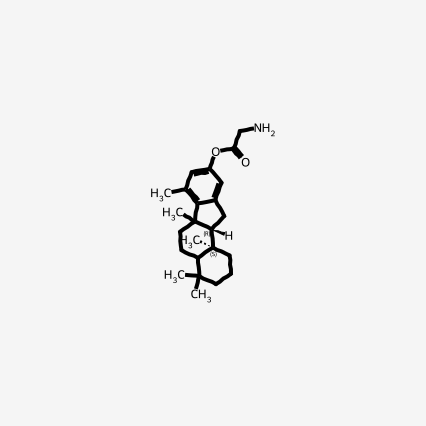 Cc1cc(OC(=O)CN)cc2c1C1(C)CCC3C(C)(C)CCC[C@]3(C)[C@H]1C2